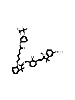 C[N+]1=C(/C=C/C2=C(Cl)C(C=C=C3N(CCCCCC(=O)Oc4ccccc4)c4ccccc4C3(C)C)CCC2)C(C)(C)c2cc(C(=O)O)ccc21.O=C([O-])C(F)(F)F